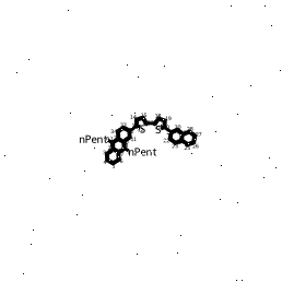 CCCCCc1c2ccccc2c(CCCCC)c2cc(-c3ccc(-c4ccc(-c5ccc6ccccc6c5)s4)s3)ccc12